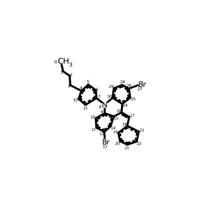 CCCCc1ccc(N2c3ccc(Br)cc3C(=Cc3ccccc3)c3cc(Br)ccc32)cc1